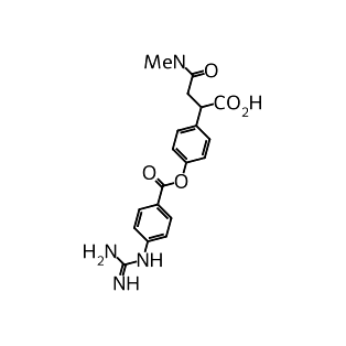 CNC(=O)CC(C(=O)O)c1ccc(OC(=O)c2ccc(NC(=N)N)cc2)cc1